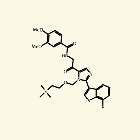 COc1ccc(C(=O)NCC(=O)c2cnc(-c3csc4c(F)cccc34)n2COCC[Si](C)(C)C)cc1OC